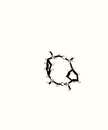 CN1CCN(C)c2ccc(cc2)N(C)CCN(C)c2ccc1cc2